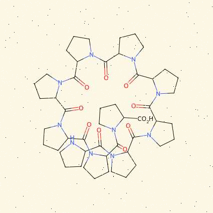 O=C(O)C1CCCN1C(=O)C1CCCN1C(=O)C1CCCN1C(=O)C1CCCN1C(=O)C1CCCN1C(=O)C1CCCN1C(=O)C1CCCN1C(=O)C1CCCN1C(=O)C1CCCN1C(=O)C1CCCN1